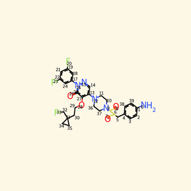 Nc1ccc(CS(=O)(=O)N2CCN(c3cnn(-c4cc(F)cc(F)c4)c(=O)c3OCCC3(CF)CC3)CC2)cc1